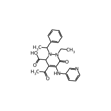 CCN1C(=O)C(Nc2cccnc2)=C(C(C)=O)C(C(=O)O)N1C(C)c1ccccc1